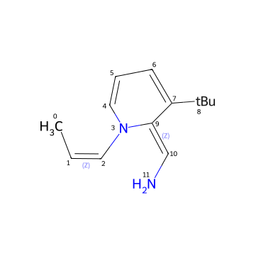 C/C=C\N1C=CC=C(C(C)(C)C)/C1=C/N